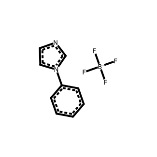 F[B-](F)(F)F.c1ccc(-n2ccnc2)cc1